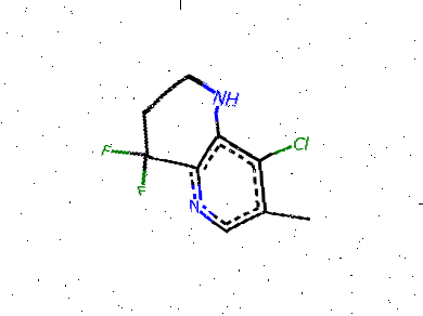 Cc1cnc2c(c1Cl)NCCC2(F)F